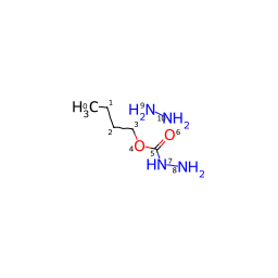 CCCCOC(=O)NN.NN